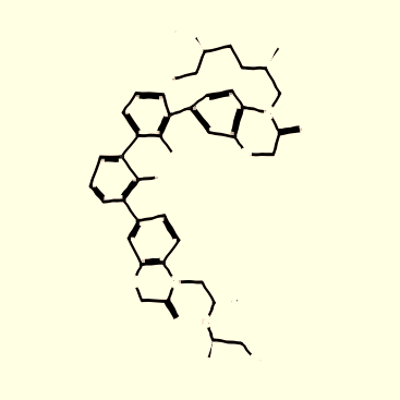 C[C@H](CC[C@@H](CO)C(=O)O)CN1C(=O)COc2cc(-c3cccc(-c4cccc(-c5ccc6c(c5)OCC(=O)N6C[C@H](C)N[C@@H](CO)C(=O)O)c4Cl)c3Cl)ccc21